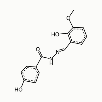 COc1cccc(/C=N/NC(=O)c2ccc(O)cc2)c1O